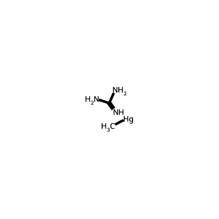 N=C(N)N.[CH3][Hg]